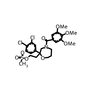 COc1cc(C(=O)N2CCCOC(CCOS(C)(=O)=O)(c3ccc(Cl)c(Cl)c3)C2)cc(OC)c1OC